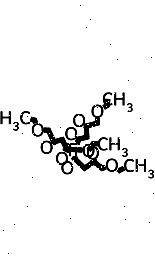 CCOCC(=O)C[C](=O)[Ti]([O]CC)([C](=O)CC(=O)COCC)[C](=O)CC(=O)COCC